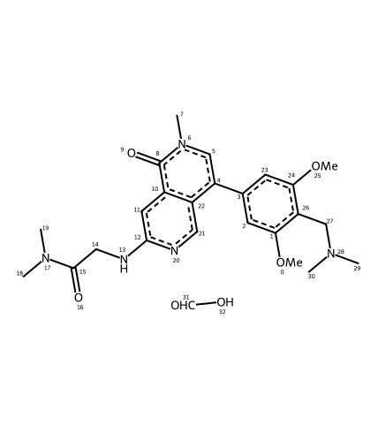 COc1cc(-c2cn(C)c(=O)c3cc(NCC(=O)N(C)C)ncc23)cc(OC)c1CN(C)C.O=CO